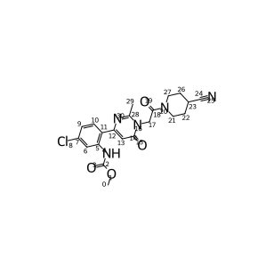 COC(=O)Nc1cc(Cl)ccc1-c1cc(=O)n(CC(=O)N2CCC(C#N)CC2)c(C)n1